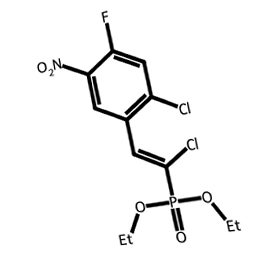 CCOP(=O)(OCC)/C(Cl)=C/c1cc([N+](=O)[O-])c(F)cc1Cl